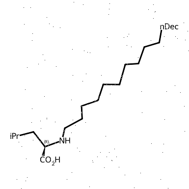 CCCCCCCCCCCCCCCCCCCCN[C@H](CC(C)C)C(=O)O